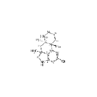 CC12CNc3cc(Br)cc(c31)[C@H]1CCCN[C@@H]1C2